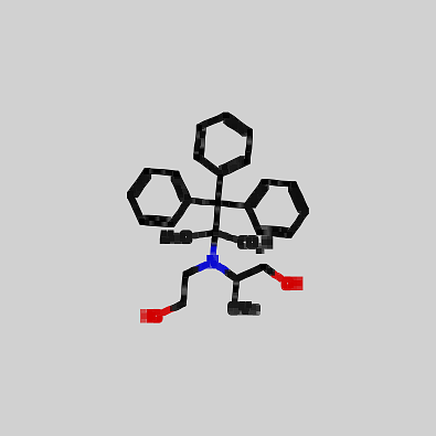 COC(CO)N(CCO)C(OC)(C(=O)O)C(c1ccccc1)(c1ccccc1)c1ccccc1